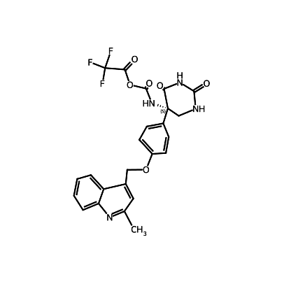 Cc1cc(COc2ccc([C@]3(NC(=O)OC(=O)C(F)(F)F)CNC(=O)NC3=O)cc2)c2ccccc2n1